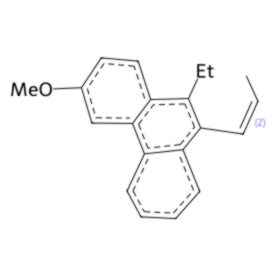 C/C=C\c1c(CC)c2ccc(OC)cc2c2ccccc12